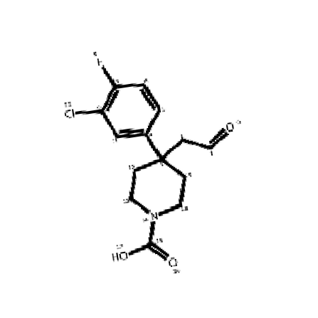 O=CCC1(c2ccc(F)c(Cl)c2)CCN(C(=O)O)CC1